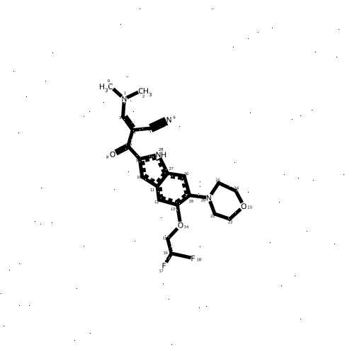 CN(C)/C=C(\C#N)C(=O)c1cc2cc(OCC(F)F)c(N3CCOCC3)cc2[nH]1